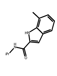 Cc1cccc2cc(C(=O)NC(C)C)[nH]c12